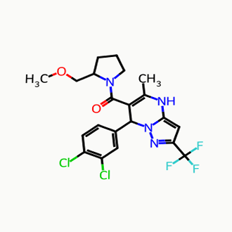 COCC1CCCN1C(=O)C1=C(C)Nc2cc(C(F)(F)F)nn2C1c1ccc(Cl)c(Cl)c1